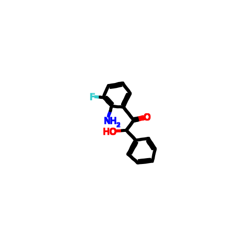 Nc1c(F)cccc1C(=O)C(O)c1ccccc1